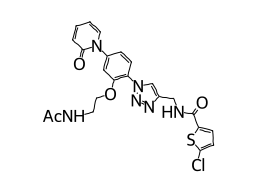 CC(=O)NCCOc1cc(-n2ccccc2=O)ccc1-n1cc(CNC(=O)c2ccc(Cl)s2)nn1